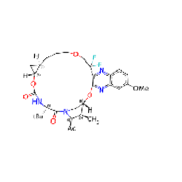 COc1ccc2nc3c(nc2c1)O[C@H]1CN(C(=O)[C@H](C(C)(C)C)NC(=O)O[C@@H]2C[C@H]2CCCOCC3(F)F)[C@H](C(C)=O)[C@@H]1C